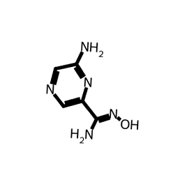 N/C(=N\O)c1cncc(N)n1